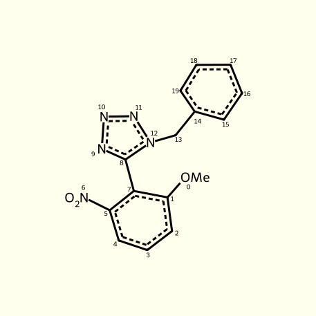 COc1cccc([N+](=O)[O-])c1-c1nnnn1Cc1ccccc1